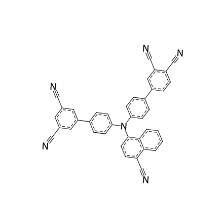 N#Cc1cc(C#N)cc(-c2ccc(N(c3ccc(-c4ccc(C#N)c(C#N)c4)cc3)c3ccc(C#N)c4ccccc34)cc2)c1